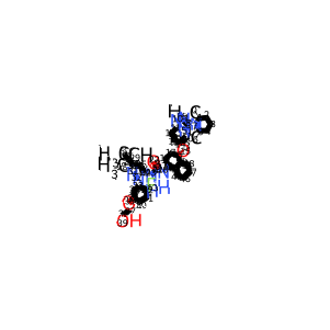 C[C@@H]1CCC[C@H](C)N1c1nnc2ccc(O[C@@H]3CC[C@H](NC(=O)Nc4cc(C(C)(C)C)nn4-c4cc(OCCO)ccc4F)c4ccccc43)cn12